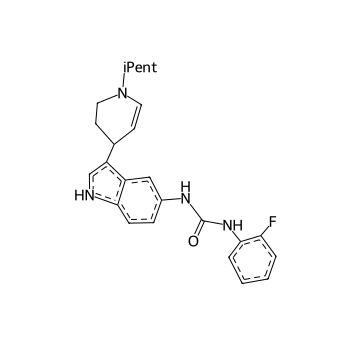 CCCC(C)N1C=CC(c2c[nH]c3ccc(NC(=O)Nc4ccccc4F)cc23)CC1